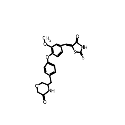 COc1cc(/C=C2\SC(=S)NC2=O)ccc1Oc1ccc(CC2COCC(=O)N2)cc1